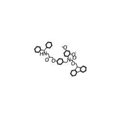 COc1ccc(N(Cc2ccc(OCC(=O)CNC(c3ccccc3)c3ccccc3)cc2)C(=O)OCC2c3ccccc3-c3ccccc32)c(OC)c1